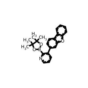 CC1(C)OB(c2ncccc2-c2ccc3c(c2)oc2ccccc23)OC1(C)C